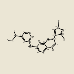 CCC(C)c1cnnc(Nc2ccc3ncc(-c4cn(C)nc4C)cc3n2)c1